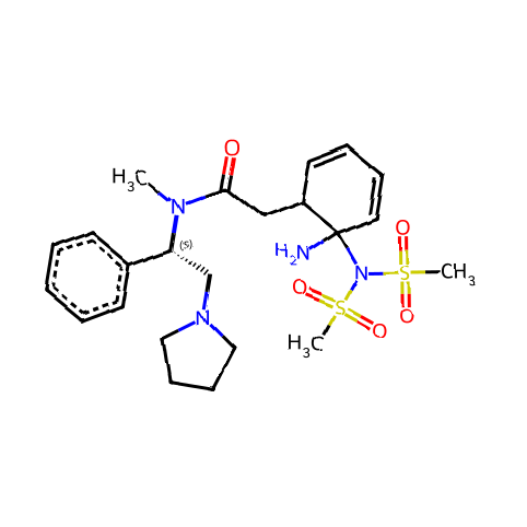 CN(C(=O)CC1C=CC=CC1(N)N(S(C)(=O)=O)S(C)(=O)=O)[C@H](CN1CCCC1)c1ccccc1